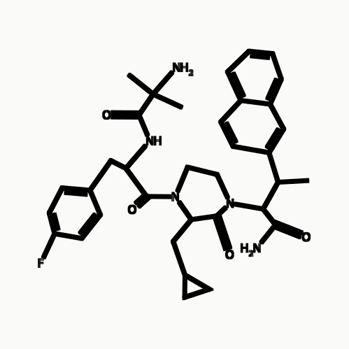 CC(c1ccc2ccccc2c1)C(C(N)=O)N1CCN(C(=O)C(Cc2ccc(F)cc2)NC(=O)C(C)(C)N)C(CC2CC2)C1=O